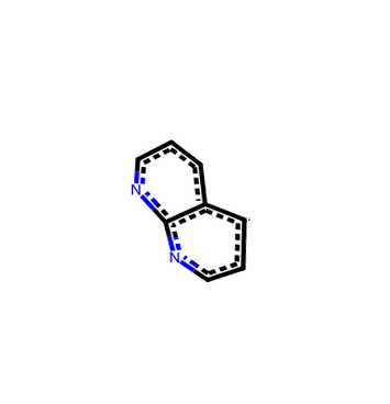 [c]1ccnc2ncccc12